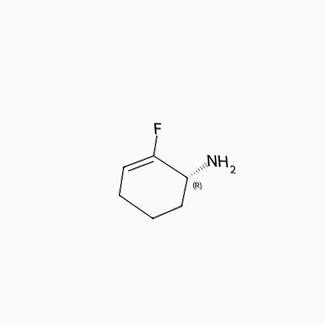 N[C@@H]1CCCC=C1F